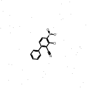 N#Cc1c(-c2ccccc2)ccc([N+](=O)[O-])c1Cl